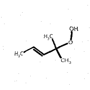 CC=CC(C)(C)OO